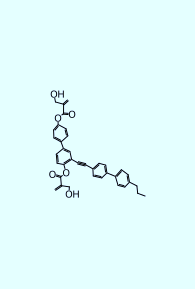 C=C(CO)C(=O)Oc1ccc(-c2ccc(OC(=O)C(=C)CO)c(C#Cc3ccc(-c4ccc(CCC)cc4)cc3)c2)cc1